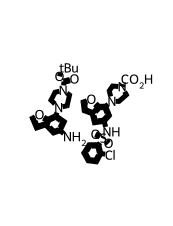 CC(C)(C)OC(=O)N1CCN(c2cc(N)cc3ccoc23)CC1.O=C(O)N1CCN(c2cc(NS(=O)(=O)c3ccccc3Cl)cc3ccoc23)CC1